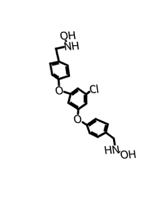 ONCc1ccc(Oc2cc(Cl)cc(Oc3ccc(CNO)cc3)c2)cc1